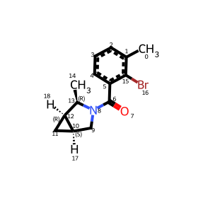 Cc1cccc(C(=O)N2C[C@H]3C[C@H]3[C@H]2C)c1Br